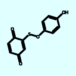 O=C1C=CC(=O)C(SOc2ccc(O)cc2)=C1